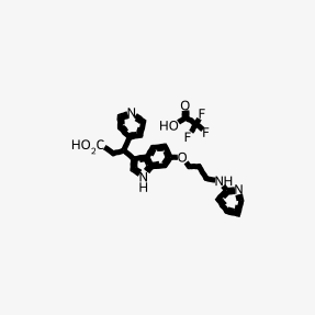 O=C(O)C(F)(F)F.O=C(O)CC(c1ccncc1)c1c[nH]c2cc(OCCCNc3ccccn3)ccc12